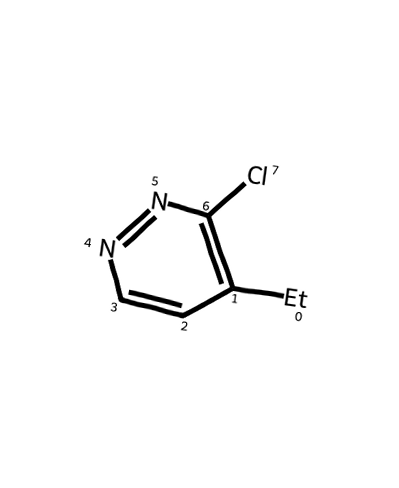 [CH2]Cc1ccnnc1Cl